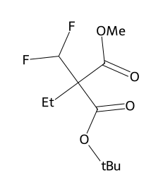 CCC(C(=O)OC)(C(=O)OC(C)(C)C)C(F)F